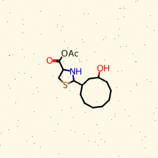 CC(=O)OC(=O)C1CSC(C2CCCCCCCC(O)C2)N1